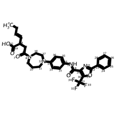 CC/C=C/C(CC(=O)N1CCCN(c2ccc(NC(=O)c3nc(-c4ccccc4)oc3C(F)(F)F)cc2)CC1)C(=O)O